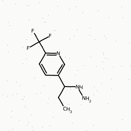 CCC(NN)c1ccc(C(F)(F)F)nc1